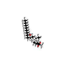 O=S(=O)(C(F)(F)O[Si](OC(F)(F)F)(OC(F)(F)F)C(F)(F)C(F)(F)C(F)(F)N(F)F)C(F)(F)C(F)(F)C(F)(F)C(F)(F)C(F)(F)C(F)(F)C(F)(F)C(F)(F)F